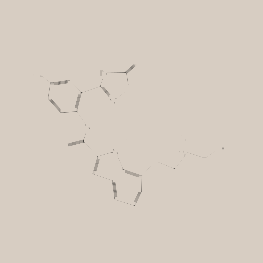 Cn1c(C(=O)Nc2ccc(Cl)cc2-c2noc(=O)[nH]2)cc2cccc(OC[C@H](O)CO)c21